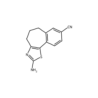 N#Cc1ccc2c(c1)CCCc1nc(N)sc1-2